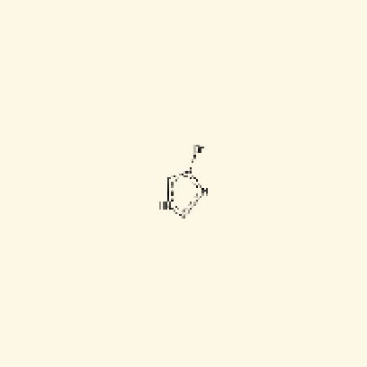 Brc1c[nH][c]n1